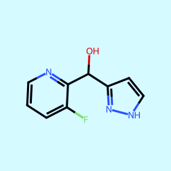 OC(c1cc[nH]n1)c1ncccc1F